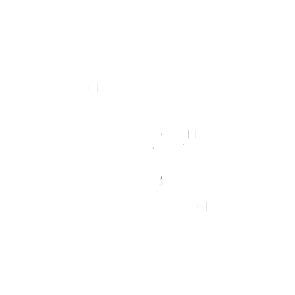 O=C(O)CC(C(=O)O)(c1ccc(Cl)cc1)c1ccc(Cl)cc1